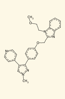 COCCn1c(COc2ccc(-c3nn(C)cc3-c3ccncc3)cc2)nc2ccccc21